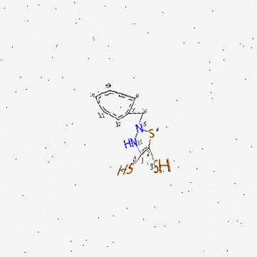 SC1=C(S)SN(Cc2ccccc2)N1